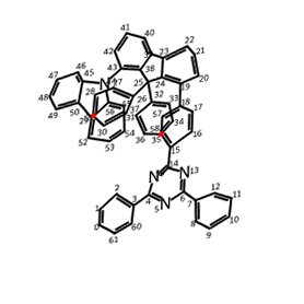 c1ccc(-c2nc(-c3ccccc3)nc(-c3ccc(-c4cccc5c4C(c4ccccc4)(c4ccccc4)c4c-5cccc4-n4c5ccccc5c5ccccc54)cc3)n2)cc1